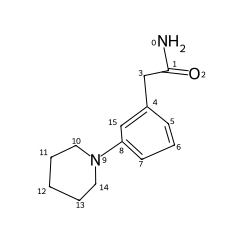 NC(=O)Cc1cccc(N2CCCCC2)c1